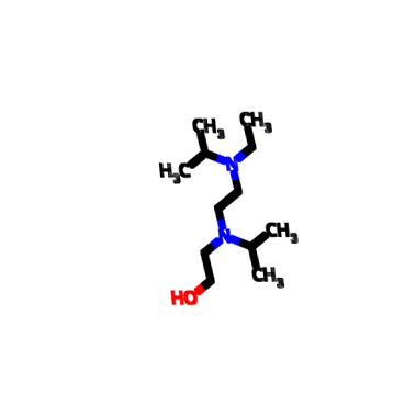 CCN(CCN(CCO)C(C)C)C(C)C